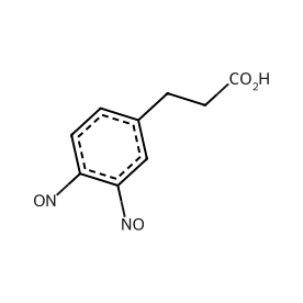 O=Nc1ccc(CCC(=O)O)cc1N=O